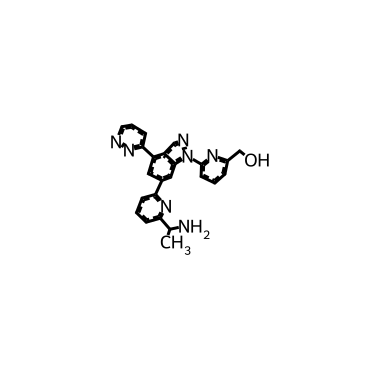 CC(N)c1cccc(-c2cc(-c3cccnn3)c3cnn(-c4cccc(CO)n4)c3c2)n1